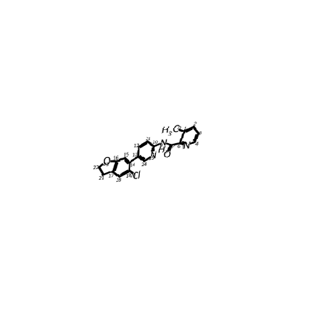 Cc1cccnc1C(=O)Nc1ccc(-c2cc3c(cc2Cl)CCO3)cn1